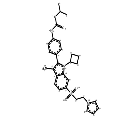 CC(C)OC(=O)Nc1ccc(-c2c(N)c3ccc(S(=O)(=O)CCn4cccn4)cc3n2C2CCC2)cc1